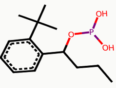 CCCC(OP(O)O)c1ccccc1C(C)(C)C